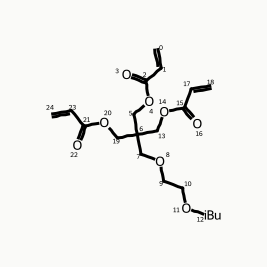 C=CC(=O)OCC(COCCOC(C)CC)(COC(=O)C=C)COC(=O)C=C